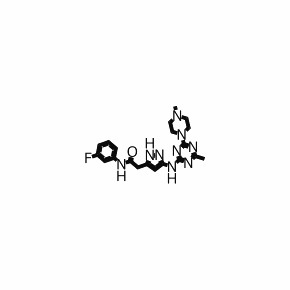 Cc1nc(Nc2cc(CC(=O)Nc3cccc(F)c3)[nH]n2)nc(N2CCN(C)CC2)n1